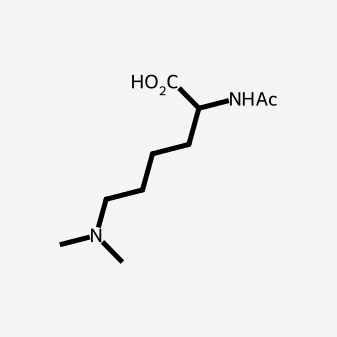 CC(=O)NC(CCCCN(C)C)C(=O)O